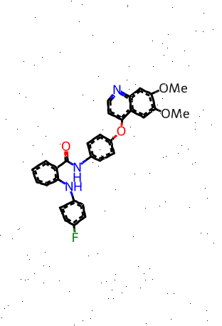 COc1cc2nccc(Oc3ccc(NC(=O)c4ccccc4Nc4ccc(F)cc4)cc3)c2cc1OC